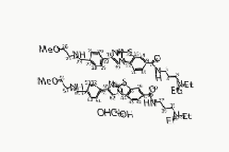 CCN(CC)CCCNC(=O)c1ccc2c(c1)sc1nc(-c3ccc(CNCCOC)cc3)cn12.CCN(CC)CCCNC(=O)c1ccc2c(c1)sc1nc(-c3ccc(CNCCOC)cc3)cn12.O=CO